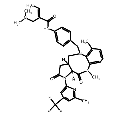 C/C=C(\CN(C)C)C(=O)Nc1ccc(CN2C[C@H]3CC(=O)N(c4cc(C(F)(F)F)cc(C)n4)[C@@H]3C(=O)N(C)c3cccc(C)c32)cc1